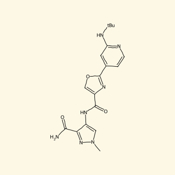 Cn1cc(NC(=O)c2coc(-c3ccnc(NC(C)(C)C)c3)n2)c(C(N)=O)n1